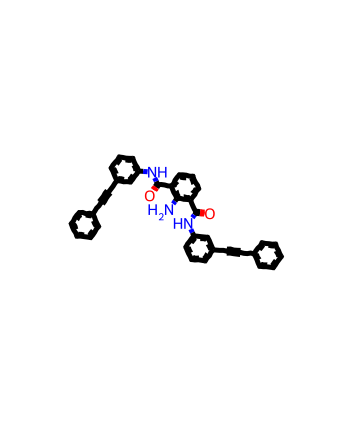 Nc1c(C(=O)Nc2cccc(C#Cc3ccccc3)c2)cccc1C(=O)Nc1cccc(C#Cc2ccccc2)c1